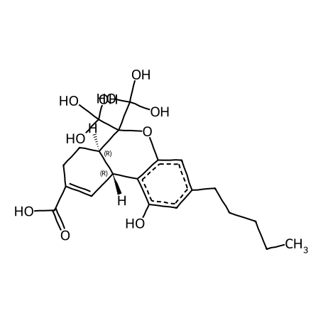 CCCCCc1cc(O)c2c(c1)OC(C(O)(O)O)(C(O)(O)O)[C@@H]1CCC(C(=O)O)=C[C@@H]21